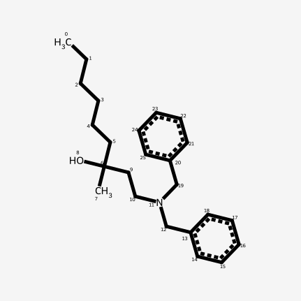 CCCCCCC(C)(O)CCN(Cc1ccccc1)Cc1ccccc1